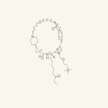 CCC(=O)CCCCC[C@@H]1NC(=O)[C@H]2CC23CCN(CCCOCCCn2ccc4cc(ccc4c2=O)-c2cn(COCC[Si](C)(C)C)c1n2)CC3